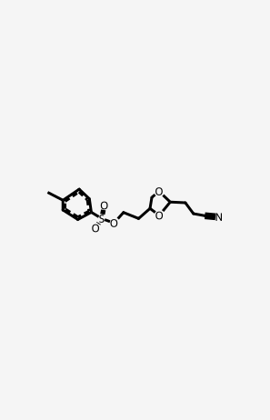 Cc1ccc(S(=O)(=O)OCCC2COC(CCC#N)O2)cc1